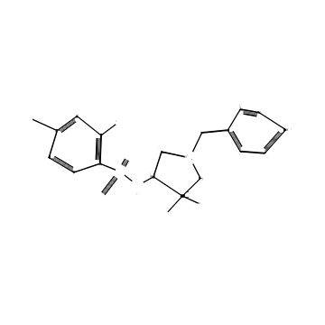 Cc1ccc(S(=O)(=O)OC2CN(Cc3ccccc3)CC2(F)F)c(C)c1